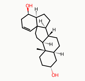 C[C@]12CC[C@@H](O)C[C@@H]1CC[C@H]1[C@@H]3CC[C@@H]4[C@H](O)CC=CC43CC[C@@H]12